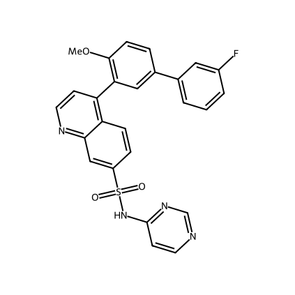 COc1ccc(-c2cccc(F)c2)cc1-c1ccnc2cc(S(=O)(=O)Nc3ccncn3)ccc12